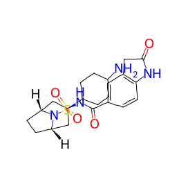 NC1CCC(S(=O)(=O)N2[C@@H]3CC[C@H]2C[C@H](NC(=O)c2ccc4c(c2)CC(=O)N4)C3)CC1